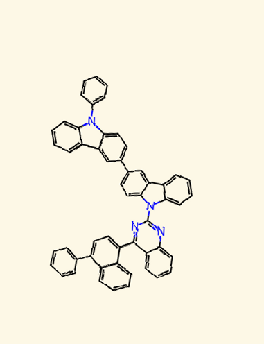 c1ccc(-c2ccc(-c3nc(-n4c5ccccc5c5cc(-c6ccc7c(c6)c6ccccc6n7-c6ccccc6)ccc54)nc4ccccc34)c3ccccc23)cc1